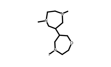 CN1CCN(C)CC(C2COCCN(I)C2)C1